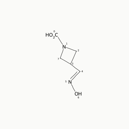 O=C(O)N1CC(C=NO)C1